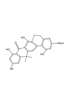 CCCCCc1cc(O)c2c(c1)CCc1c-2cc2c(c1O)C(=O)c1c(O)cc(O)cc1C2(C)C